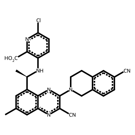 Cc1cc([C@@H](C)Nc2ccc(Cl)nc2C(=O)O)c2nc(N3CCc4cc(C#N)ccc4C3)c(C#N)nc2c1